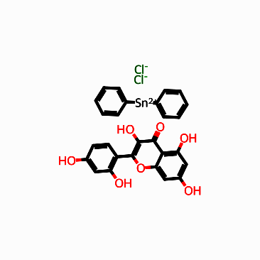 O=c1c(O)c(-c2ccc(O)cc2O)oc2cc(O)cc(O)c12.[Cl-].[Cl-].c1cc[c]([Sn+2][c]2ccccc2)cc1